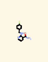 NC(=O)c1cccnc1NCc1ccc(F)cc1